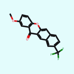 COc1ccc2oc3cc4ccc(C(F)(F)F)cc4cc3c(=O)c2c1